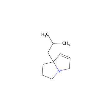 CC(C)CC12C=CCN1CCC2